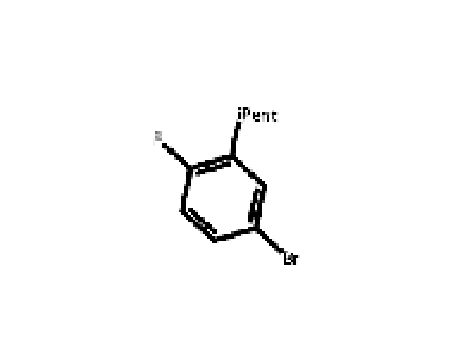 CCCC(C)c1cc(Br)ccc1F